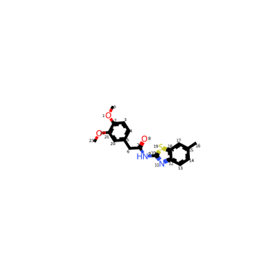 COc1ccc(CC(=O)Nc2nc3ccc(C)cc3s2)cc1OC